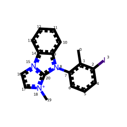 Cc1c(I)cccc1-n1c2ccccc2n2cc[n+](C)c12